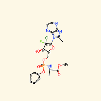 Cc1nc2nccnc2n1[C@@H]1O[C@H](CO[P@@](=O)(NC(C)C(=O)OC(C)C)Oc2ccccc2)[C@@H](O)[C@]1(F)Cl